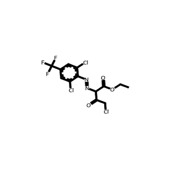 CCOC(=O)C(/N=N/c1c(Cl)cc(C(F)(F)F)cc1Cl)C(=O)CCl